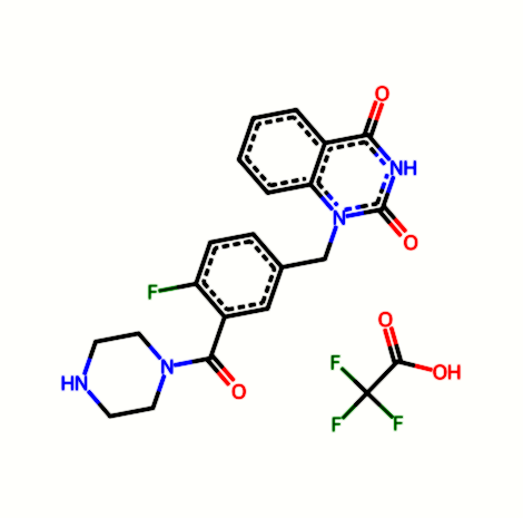 O=C(O)C(F)(F)F.O=C(c1cc(Cn2c(=O)[nH]c(=O)c3ccccc32)ccc1F)N1CCNCC1